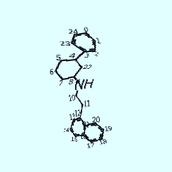 c1ccc(C2CCCC(NCCc3cccc4ccccc34)C2)cc1